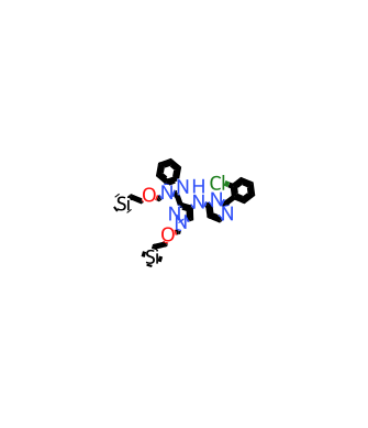 C[Si](C)(C)CCOCn1cc(Nc2ccnc(-c3ccccc3Cl)n2)c(-c2nc3ccccc3n2COCC[Si](C)(C)C)n1